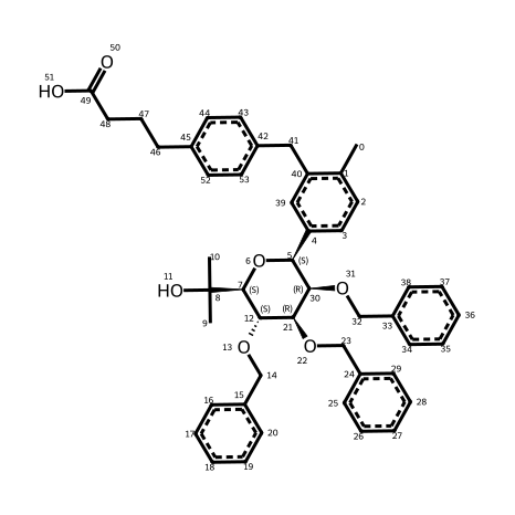 Cc1ccc([C@@H]2O[C@H](C(C)(C)O)[C@@H](OCc3ccccc3)[C@H](OCc3ccccc3)[C@@H]2OCc2ccccc2)cc1Cc1ccc(CCCC(=O)O)cc1